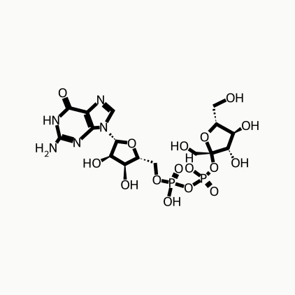 Nc1nc2c(ncn2[C@@H]2O[C@H](COP(=O)(O)OP(=O)(O)O[C@]3(CO)O[C@H](CO)[C@@H](O)[C@@H]3O)[C@@H](O)[C@H]2O)c(=O)[nH]1